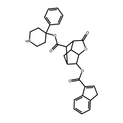 O=C(OC1C2CC3C1OC(=O)C3C2C(=O)OC1(c2ccccc2)CCNCC1)C1=CCc2ccccc21